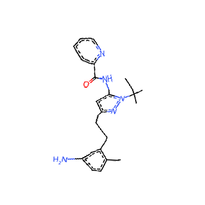 Cc1ccc(N)cc1CCc1cc(NC(=O)c2ccccn2)n(C(C)(C)C)n1